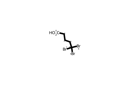 O=C(O)CCCC(Br)(Br)Br